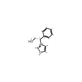 OC[C@H](c1ccccc1)[n+]1c[c]on1